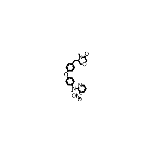 CN(c1ccc(Oc2ccc(CC3COCC(=O)N3C)cc2)cc1)c1ncccc1[N+](=O)[O-]